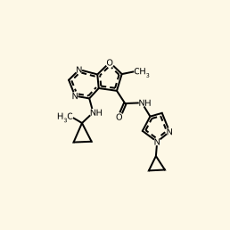 Cc1oc2ncnc(NC3(C)CC3)c2c1C(=O)Nc1cnn(C2CC2)c1